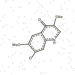 COc1cc2c(=O)c(SC)c[nH]c2cc1Cl